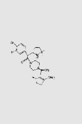 CNC1=C(C(=N)N2CCN(C(=O)[C@@H](c3ccc(Br)c(F)c3)[C@@H]3CCC(C)(C)N3)CC2)[C@H](C)CC1